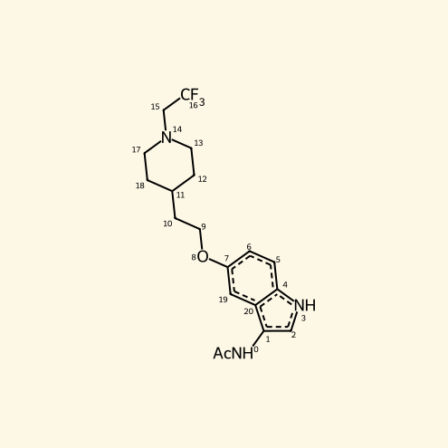 CC(=O)Nc1c[nH]c2ccc(OCCC3CCN(CC(F)(F)F)CC3)cc12